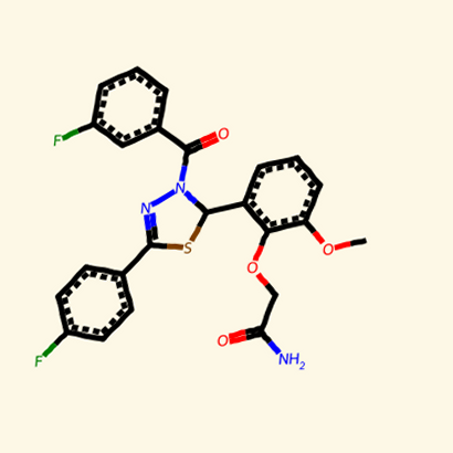 COc1cccc(C2SC(c3ccc(F)cc3)=NN2C(=O)c2cccc(F)c2)c1OCC(N)=O